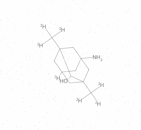 [2H]C12CC3(N)CC(C([2H])([2H])[2H])(C1)C(O)C(C([2H])([2H])[2H])(C2)C3